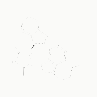 O=C1NC(=O)[C@@H](c2cn3c4c(cccc24)C(O)CC3)[C@@H]1c1c[nH]c2ccccc12